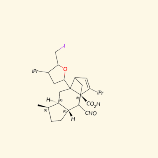 CC(C)C1=CC2CC3(C=O)[C@@H]4CC[C@@H](C)[C@H]4CC2(C2CC(C(C)C)C(CI)O2)[C@]13C(=O)O